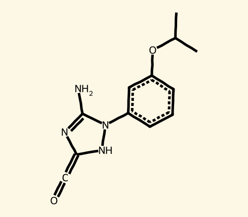 CC(C)Oc1cccc(N2NC(=C=O)N=C2N)c1